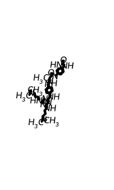 CC(N=Nc1ccc(Nc2nc(NCCCN(C)C)nc(NCCCN(C)C)n2)cc1)C(=O)Nc1ccc2[nH]c(=O)[nH]c2c1